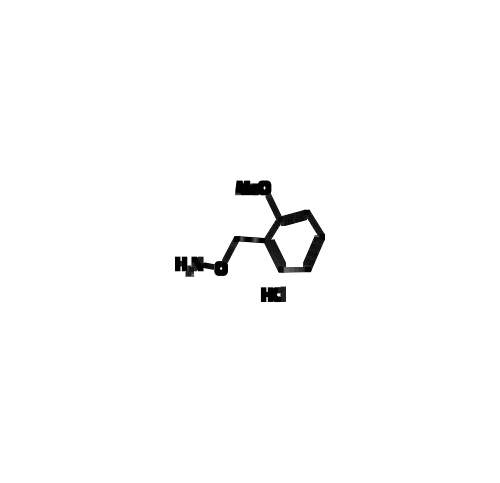 COc1ccccc1CON.Cl